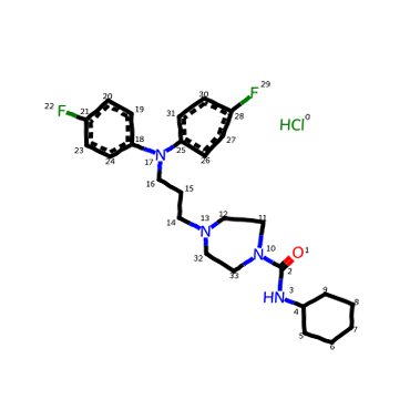 Cl.O=C(NC1CCCCC1)N1CCN(CCCN(c2ccc(F)cc2)c2ccc(F)cc2)CC1